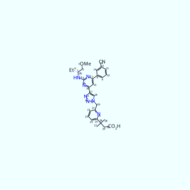 CC[C@H](COC)Nc1nc(-c2cccc(C#N)c2)cc(-c2cn(Cc3cccc(C(C)(C)CC(=O)O)n3)nn2)n1